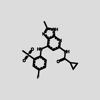 Cc1nc2c(Nc3ccc(F)cc3S(C)(=O)=O)cc(NC(=O)C3CC3)nc2[nH]1